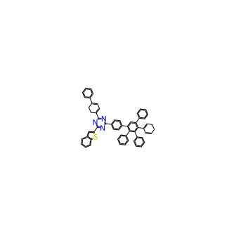 C1=CC(c2c(-c3ccccc3)cc(-c3ccc(-c4nc(C5=CC=C(c6ccccc6)CC5)nc(-c5cc6ccccc6s5)n4)cc3)c(-c3ccccc3)c2-c2ccccc2)=CCC1